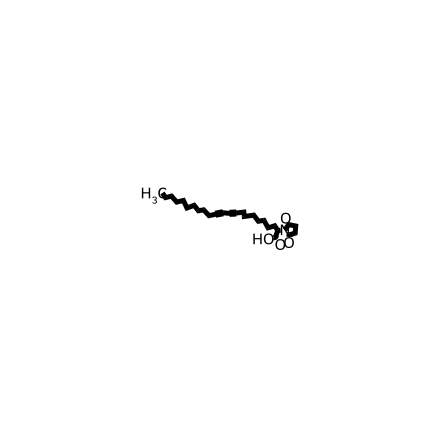 CCCCCCCCCCC#CC#CCCCCCCCC(C(=O)O)N1C(=O)CCC1=O